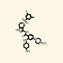 CN1CCN(c2ccc(C(=O)Nc3n[nH]c4c3CN(S(=O)(=O)c3cc(F)cc(F)c3)CC4)c(NC3CCC(O)CC3)c2)CC1